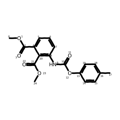 COC(=O)c1cccc(NC(=O)Oc2ccc(C)cc2)c1C(=O)OC